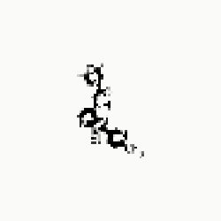 CCn1c(-c2ccc(C(F)(F)F)nc2)nc2c(NCC(=O)N3C[C@@H](C)O[C@@H](C)C3)ccnc21